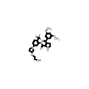 COc1cc(OC)cc(-c2nn(-c3cc(N4CC[C@@H](OCCO)C4)ccc3C(F)(F)F)c(=O)c3c2CCN3)c1